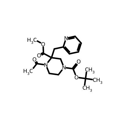 COC(=O)C1(Cc2ccccn2)CN(C(=O)OC(C)(C)C)CCN1C(C)=O